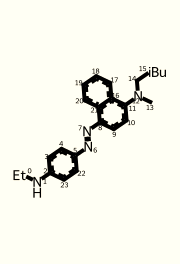 CCNc1ccc(N=Nc2ccc(N(C)CC(C)CC)c3ccccc23)cc1